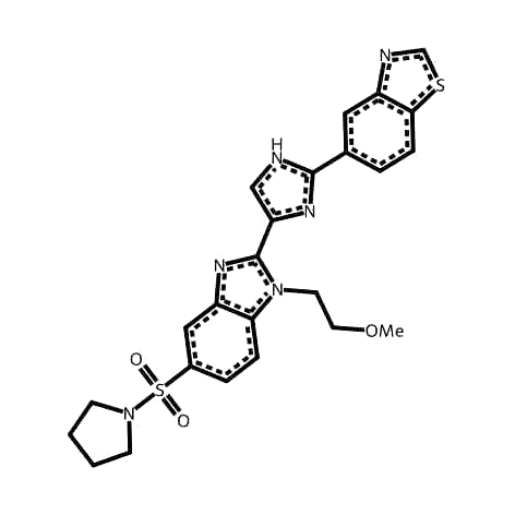 COCCn1c(-c2c[nH]c(-c3ccc4scnc4c3)n2)nc2cc(S(=O)(=O)N3CCCC3)ccc21